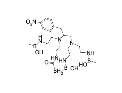 BC(=O)NCCN(CCNB(C)O)C(Cc1ccc([N+](=O)[O-])cc1)CN(CCNB(C)O)CCNB(C)O